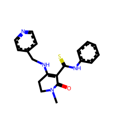 CN1CCC(NCc2ccncc2)=C(C(=S)Nc2ccccc2)C1=O